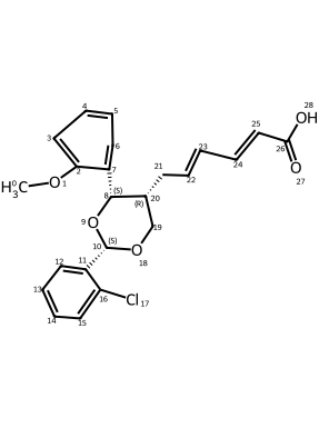 COc1ccccc1[C@H]1O[C@@H](c2ccccc2Cl)OC[C@H]1CC=CC=CC(=O)O